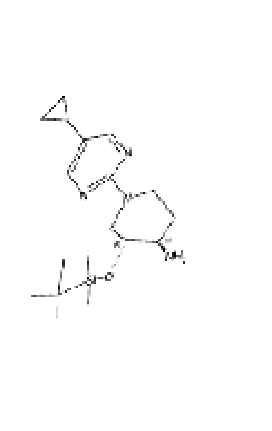 CC(C)(C)[Si](C)(C)O[C@@H]1CN(c2ncc(C3CC3)cn2)CC[C@H]1N